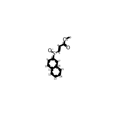 COC(=O)/C=C/[S+]([O-])c1ccc2ccccc2c1